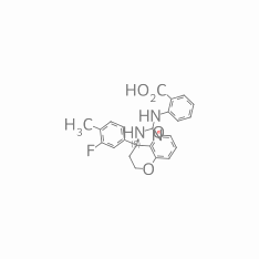 Cc1ccc([C@@]2(NC(=O)Nc3ccccc3C(=O)O)CCOc3cccnc32)cc1F